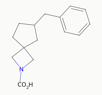 O=C(O)N1CC2(CCC(Cc3ccccc3)C2)C1